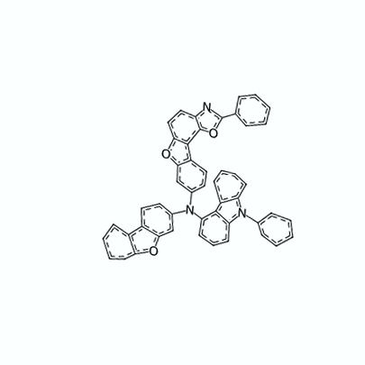 c1ccc(-c2nc3ccc4oc5cc(N(c6ccc7c(c6)oc6ccccc67)c6cccc7c6c6ccccc6n7-c6ccccc6)ccc5c4c3o2)cc1